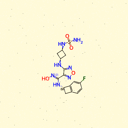 NS(=O)(=O)N[C@H]1C[C@@H](Nc2nonc2/C(=N/O)N[C@H]2Cc3ccc(F)cc32)C1